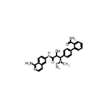 CN(C)C(c1ccc(-c2ccccc2C(N)=O)cc1)C(O)C(=O)Nc1ccc2c(N)nccc2c1